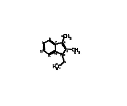 CCn1c(C)c(C)c2ccccc21